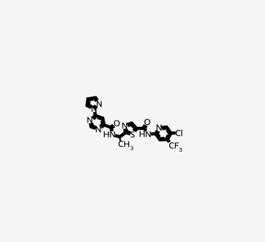 C[C@@H](NC(=O)c1cc(-n2cccn2)ncn1)c1ncc(C(=O)Nc2cc(C(F)(F)F)c(Cl)cn2)s1